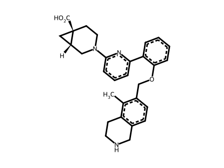 Cc1c(COc2ccccc2-c2cccc(N3CC[C@@]4(C(=O)O)C[C@H]4C3)n2)ccc2c1CCNC2